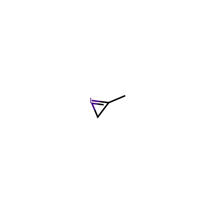 CC1=IC1